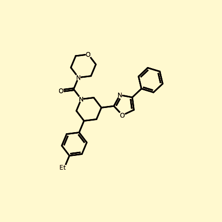 CCc1ccc(C2CC(c3nc(-c4ccccc4)co3)CN(C(=O)N3CCOCC3)C2)cc1